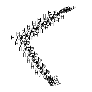 CC(=O)O.CC(=O)O.CC(=O)O.CC(=O)O.CC(=O)O.CC(=O)O.CC(=O)O.CC(=O)O.CC(=O)O.CC(=O)O.CC(=O)O.CC(=O)O.CC(=O)O.CC(=O)O.[Ca+2].[Ca+2].[Mg+2].[Zn+2].[Zn+2].[Zn+2].[Zn+2].[Zn+2].[Zn+2]